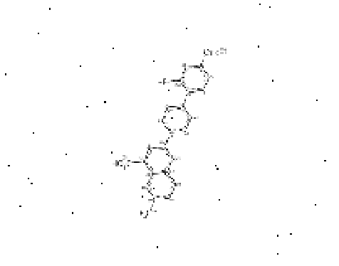 CCOc1ccc(-c2ccc(-c3cc(C(=O)O)c4cc(C(F)(F)F)ccc4n3)cc2)c(F)c1